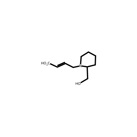 O=C(O)/C=C/CN1CCCCC1CO